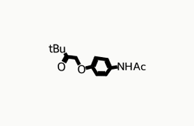 CC(=O)Nc1ccc(OCC(=O)C(C)(C)C)cc1